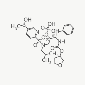 CB(O)c1ccc(S(=O)(=O)N(CC(C)C)C[C@@H](OP(=O)(O)O)[C@H](Cc2ccccc2)NC(=O)OC2CCOC2)nc1